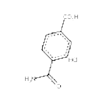 Cl.NC(=O)c1ccc(C(=O)O)cc1